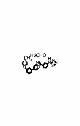 CN1CCN(Cc2cccc(-c3ccn4c(-c5cccc(Nc6nncs6)c5)cnc4c3)c2)CC1.O=CO